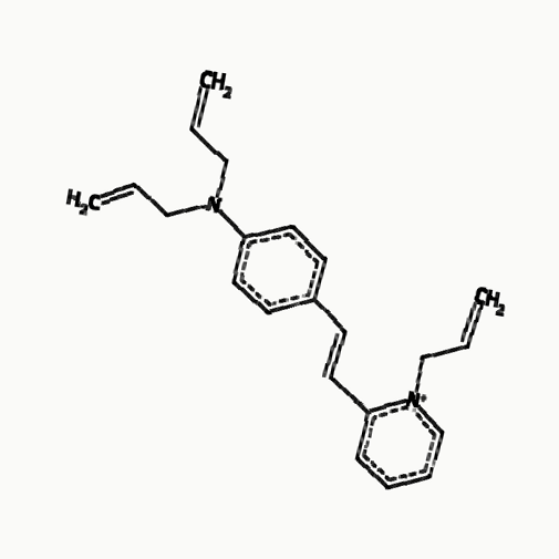 C=CCN(CC=C)c1ccc(C=Cc2cccc[n+]2CC=C)cc1